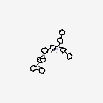 C=C(/C=C\C(=C/C)N(c1ccc(-c2ccccc2)cc1)c1ccc(-c2ccccc2)cc1)c1cccc(N2C3CC4CC2CC(C3)C4n2c3ccccc3c3ccccc32)c1